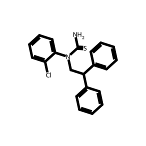 NC(=S)N(CC(c1ccccc1)c1ccccc1)c1ccccc1Cl